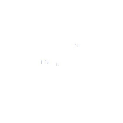 c1ccc2[nH]c(CC3CCNCC3)nc2c1